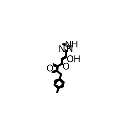 Cc1ccc(Cc2cocc2C(=O)C=C(O)c2nc[nH]n2)cc1